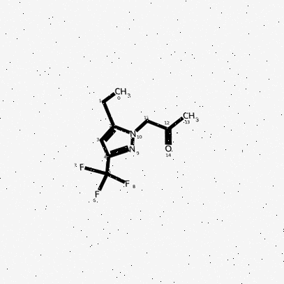 CCc1cc(C(F)(F)F)nn1CC(C)=O